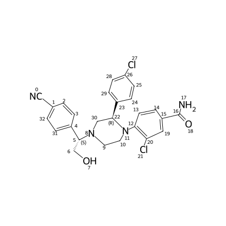 N#Cc1ccc([C@@H](CO)N2CCN(c3ccc(C(N)=O)cc3Cl)[C@H](c3ccc(Cl)cc3)C2)cc1